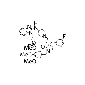 CCOCCn1c(NC2CCN(CCC3(Cc4cccc(F)c4)CCN(Cc4cc(OC)c(OC)c(OC)c4)C3=O)CC2)nc2ccccc21